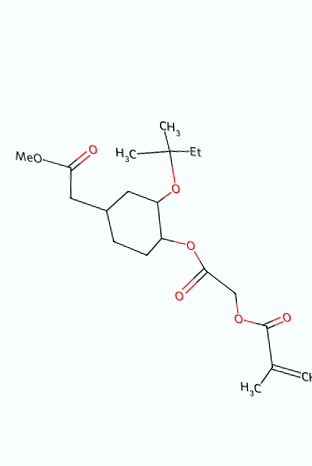 C=C(C)C(=O)OCC(=O)OC1CCC(CC(=O)OC)CC1OC(C)(C)CC